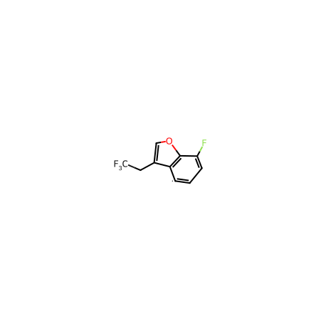 Fc1cc[c]c2c(CC(F)(F)F)coc12